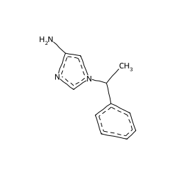 CC(c1ccccc1)n1cnc(N)c1